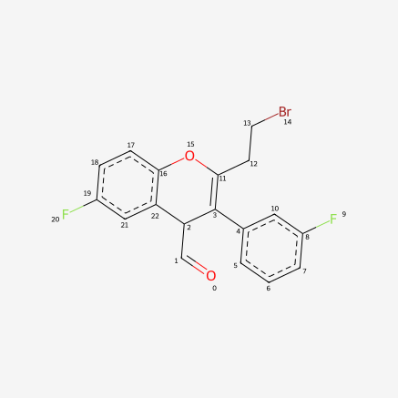 O=CC1C(c2cccc(F)c2)=C(CCBr)Oc2ccc(F)cc21